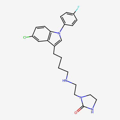 O=C1NCCN1CCNCCCCc1cn(-c2ccc(F)cc2)c2ccc(Cl)cc12